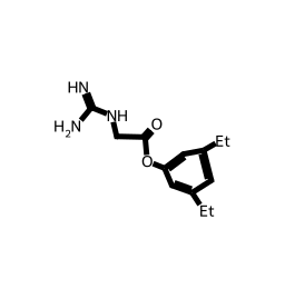 CCc1cc(CC)cc(OC(=O)CNC(=N)N)c1